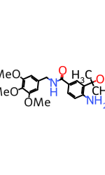 COc1cc(CNC(=O)c2ccc(N)c(C(C)(C)O)c2)cc(OC)c1OC